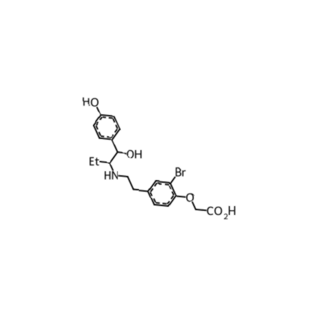 CCC(NCCc1ccc(OCC(=O)O)c(Br)c1)C(O)c1ccc(O)cc1